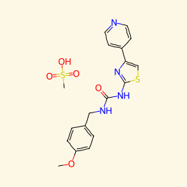 COc1ccc(CNC(=O)Nc2nc(-c3ccncc3)cs2)cc1.CS(=O)(=O)O